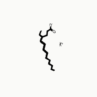 CCCCCCCCCCC(CC)CCC(=O)[O-].[K+]